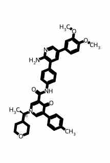 COc1ccc(-c2cnc(N)c(-c3ccc(NC(=O)c4cn([C@H](C)C5CCOCC5)cc(-c5ccc(C)cc5)c4=O)cc3)c2)cc1OC